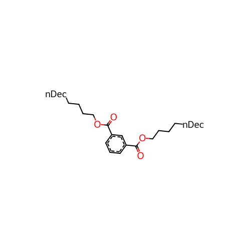 CCCCCCCCCCCCCCOC(=O)c1cccc(C(=O)OCCCCCCCCCCCCCC)c1